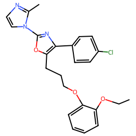 CCOc1ccccc1OCCCc1oc(-n2ccnc2C)nc1-c1ccc(Cl)cc1